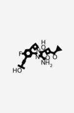 CC(C)(O)C#Cc1cc2c(cc1F)C1CC(C1)n1c-2nc(C(N)=O)c1C1(O)CC(C(=O)C2CC2)C1